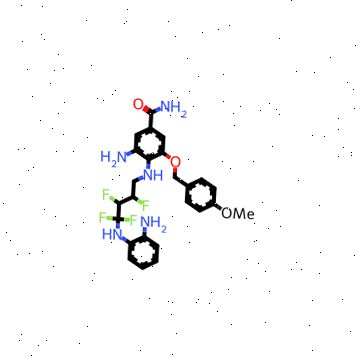 COc1ccc(COc2cc(C(N)=O)cc(N)c2NCC(F)C(F)C(F)(F)Nc2ccccc2N)cc1